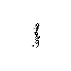 O=C(O)CN1CCC(CC2CC(c3ccc(C=NNCc4ccccc4)cc3)NO2)CC1